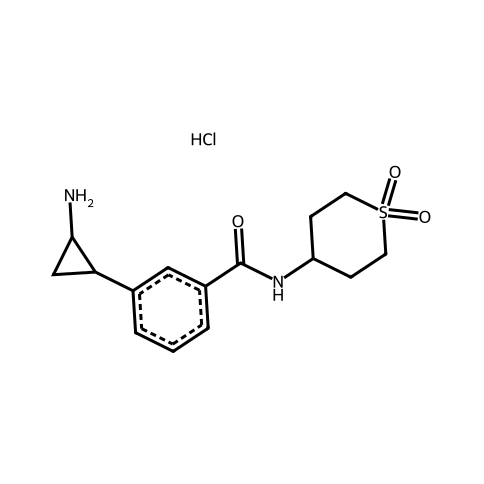 Cl.NC1CC1c1cccc(C(=O)NC2CCS(=O)(=O)CC2)c1